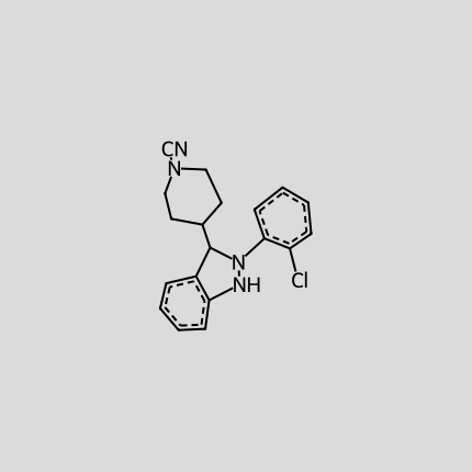 N#CN1CCC(C2c3ccccc3NN2c2ccccc2Cl)CC1